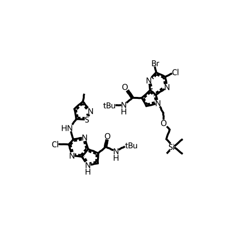 CC(C)(C)NC(=O)c1cn(COCC[Si](C)(C)C)c2nc(Cl)c(Br)nc12.Cc1cc(Nc2nc3c(C(=O)NC(C)(C)C)c[nH]c3nc2Cl)sn1